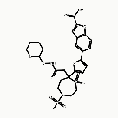 CNC(=O)c1cc2cc(-c3ccc(C4(CC(=O)NOC5CCCCO5)CCN(S(C)(=O)=O)CCS4(=O)=O)s3)ccc2o1